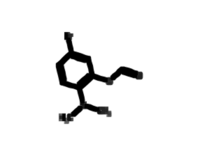 CN(C)c1ccc(Br)cc1OC=O